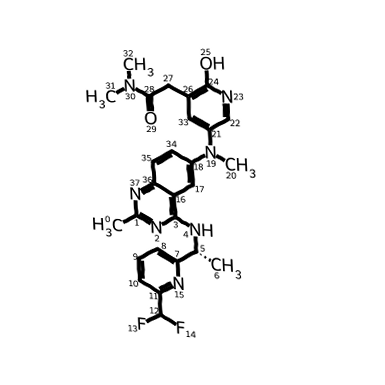 Cc1nc(N[C@H](C)c2cccc(C(F)F)n2)c2cc(N(C)c3cnc(O)c(CC(=O)N(C)C)c3)ccc2n1